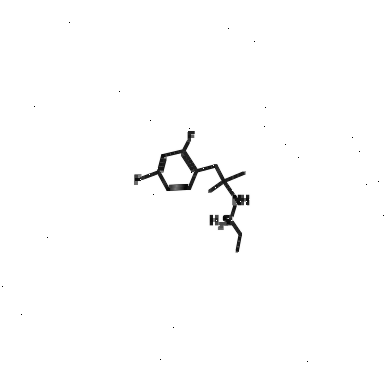 CC[SiH2]NC(C)(C)Cc1ccc(F)cc1F